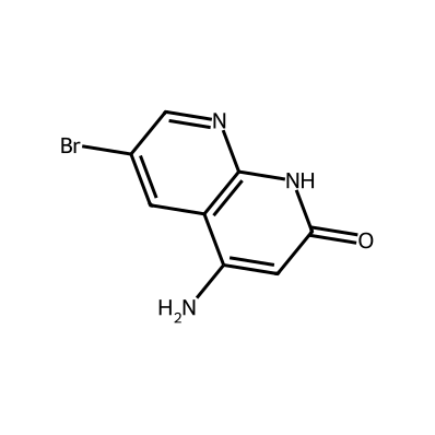 Nc1cc(=O)[nH]c2ncc(Br)cc12